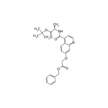 C[C@@H](NC(=O)c1ccnc2cc(OCC(=O)OCc3ccccc3)ccc12)C(=O)OC(C)(C)C